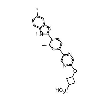 O=C(O)C1CC(Oc2cnc(-c3ccc(-c4nc5cc(F)ccc5[nH]4)c(F)c3)cn2)C1